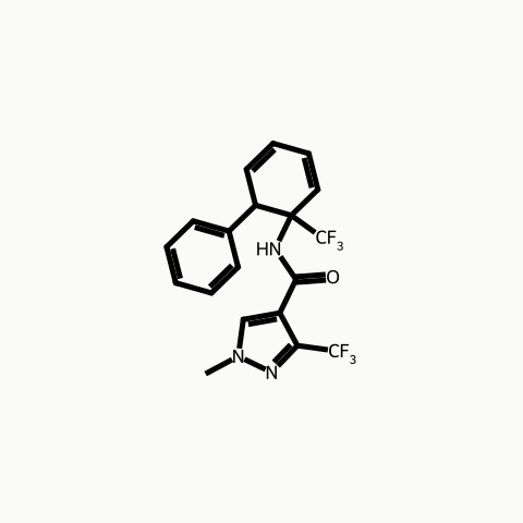 Cn1cc(C(=O)NC2(C(F)(F)F)C=CC=CC2c2ccccc2)c(C(F)(F)F)n1